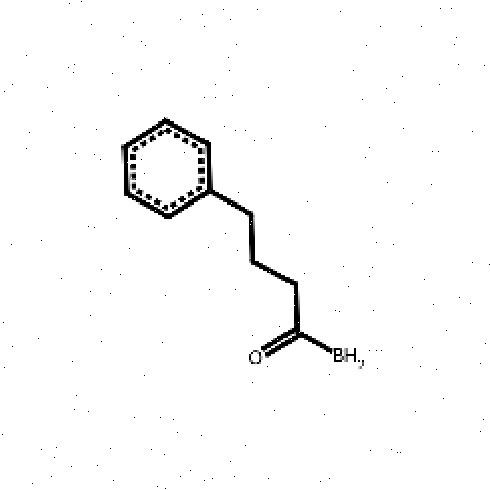 BC(=O)CCCc1ccccc1